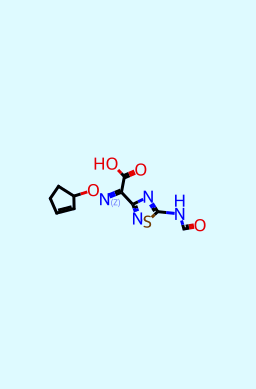 O=CNc1nc(/C(=N/OC2C=CCC2)C(=O)O)ns1